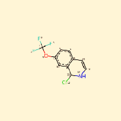 FC(F)(F)Oc1ccc2c(c1)C(Cl)NC=C2